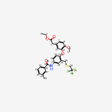 CCOC(=O)Cc1ccc(OC)c(Oc2ccc(NC(=O)c3cccc(C)c3)cc2CSCC(F)(F)F)c1